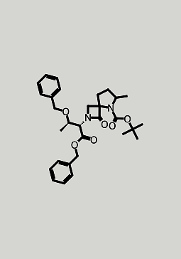 CC1CCC2(CN([C@H](C(=O)OCc3ccccc3)[C@@H](C)OCc3ccccc3)C2=O)N1C(=O)OC(C)(C)C